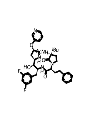 CC[C@@H](C)[C@@]1(NC(C)=O)CCN([C@@H](CCc2ccccc2)C(=O)N[C@@H](Cc2cc(F)cc(F)c2)[C@@H](O)[C@H]2C[C@@H](Oc3cccnc3)CN2)C1=O